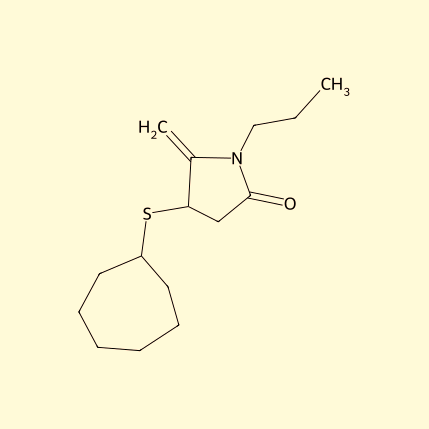 C=C1C(SC2CCCCCC2)CC(=O)N1CCC